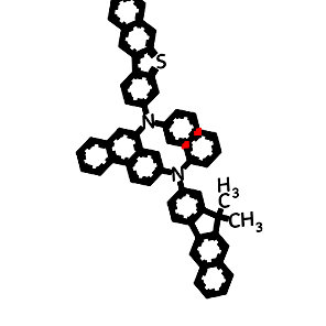 CC1(C)c2cc(N(c3ccccc3)c3ccc4c(c3)c(N(c3ccccc3)c3ccc5c(c3)sc3cc6ccccc6cc35)cc3ccccc34)ccc2-c2cc3ccccc3cc21